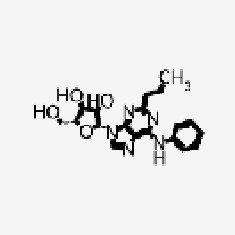 CCCc1nc(Nc2ccccc2)c2ncn([C@@H]3O[C@H](CO)C(O)C3O)c2n1